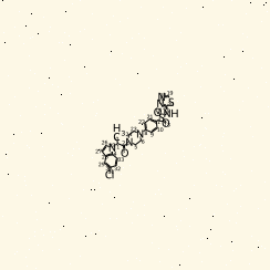 CC(C(=O)N1CCN(c2ccc(S(=O)(=O)Nc3nncs3)cc2)CC1)n1ccc2cc(Cl)ccc21